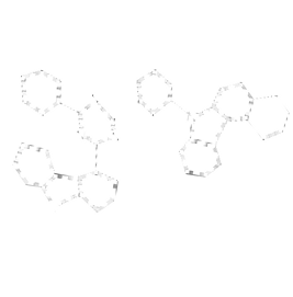 C1=Cc2c(ccc3c2c2ccccc2n3-c2cccc(-c3nc(-c4ccccc4)nc(-c4cccc5sc6ccccc6c45)n3)c2)CC1